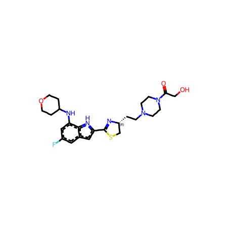 O=C(CO)N1CCN(CC[C@@H]2CSC(c3cc4cc(F)cc(NC5CCOCC5)c4[nH]3)=N2)CC1